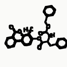 Cc1c(OC(=O)C(Cc2ccccc2)NC(=O)OCc2ccccc2)ccc2c1oc(=O)c1ccccc12